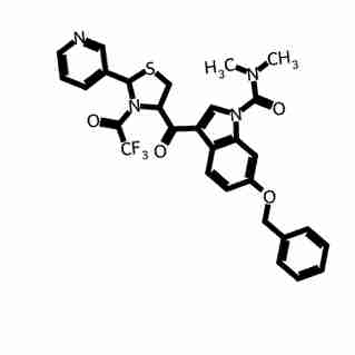 CN(C)C(=O)n1cc(C(=O)C2CSC(c3cccnc3)N2C(=O)C(F)(F)F)c2ccc(OCc3ccccc3)cc21